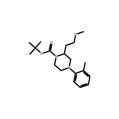 COCCC1CN(c2ccccc2C)CCN1C(=O)OC(C)(C)C